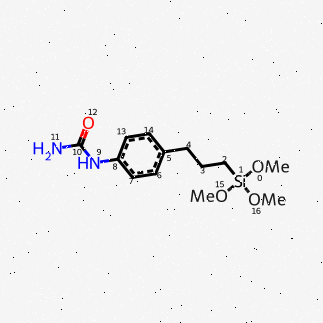 CO[Si](CCCc1ccc(NC(N)=O)cc1)(OC)OC